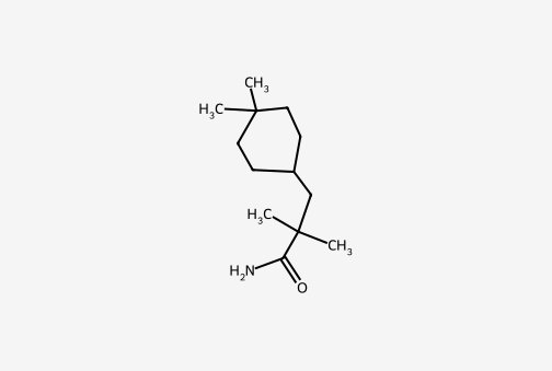 CC1(C)CCC(CC(C)(C)C(N)=O)CC1